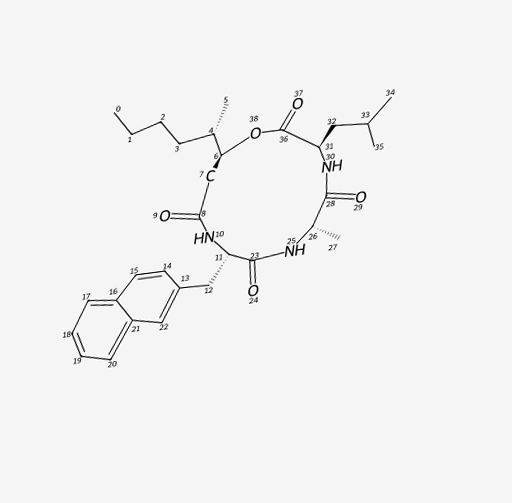 CCCC[C@H](C)[C@@H]1CC(=O)N[C@@H](Cc2ccc3ccccc3c2)C(=O)N[C@@H](C)C(=O)N[C@H](CC(C)C)C(=O)O1